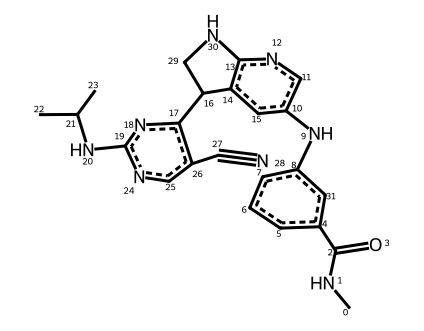 CNC(=O)c1cccc(Nc2cnc3c(c2)C(c2nc(NC(C)C)ncc2C#N)CN3)c1